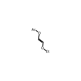 CCOC=COC(C)=O